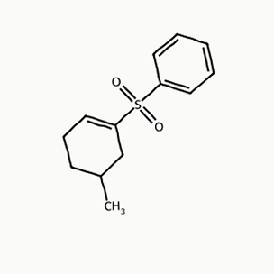 CC1CCC=C(S(=O)(=O)c2ccccc2)C1